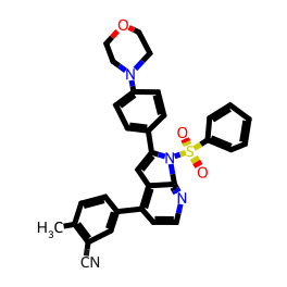 Cc1ccc(-c2ccnc3c2cc(-c2ccc(N4CCOCC4)cc2)n3S(=O)(=O)c2ccccc2)cc1C#N